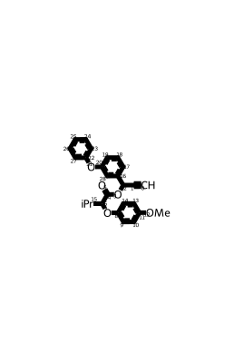 C#CC(OC(=O)C(Oc1ccc(OC)cc1)C(C)C)c1cccc(Oc2ccccc2)c1